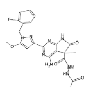 COc1cc(-c2nc(N)c3c(n2)NC(=O)C3(C)C(=O)NNC(C)=O)nn1Cc1ccccc1F